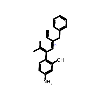 C=C/C(=C\C(=C(C)C)c1ccc(N)cc1O)Cc1ccccc1